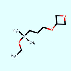 CCO[Si](C)(C)CCCOC1COC1